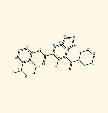 C=C(c1c(C)c(C(=O)Oc2cccc(C(C)C)c2OC)cc2cccn12)N1CCOCC1